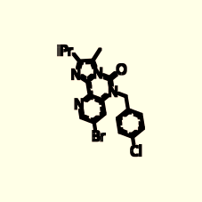 Cc1c(C(C)C)nc2c3ncc(Br)cc3n(Cc3ccc(Cl)cc3)c(=O)n12